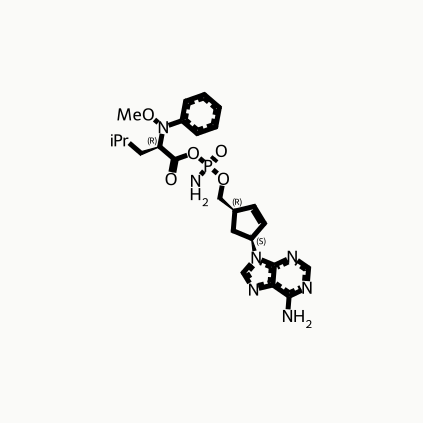 CON(c1ccccc1)[C@H](CC(C)C)C(=O)OP(N)(=O)OC[C@H]1C=C[C@@H](n2cnc3c(N)ncnc32)C1